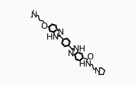 CN(C)CCCOc1ccc2nc(-c3ccc(-c4nc5ccc(C(=O)NCCN6CCCC6)cc5[nH]4)cc3)[nH]c2c1